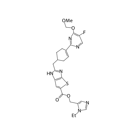 CCn1cncc1COC(=O)c1cc2[nH]c(CC3CC=C(c4ncc(F)c(OCOC)n4)CC3)nc2s1